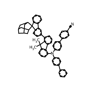 CC1(C)c2cccc(N(c3ccc(-c4ccccc4)cc3)c3ccc(-c4ccc(C#N)cc4)cc3)c2-c2cccc(-c3ccc4c(c3)-c3ccccc3C43C4CC5CC6CC3C6(C5)C4)c21